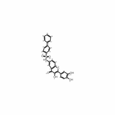 O=c1c(O)c(-c2ccc(O)c(O)c2)oc2ccc(NS(=O)(=O)c3ccc(-c4ccccc4)cc3)cc12